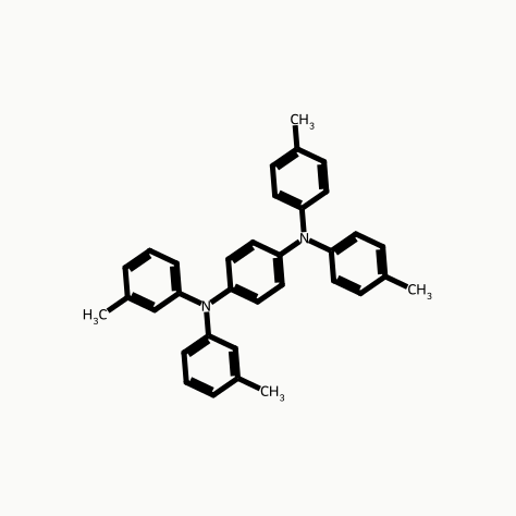 Cc1ccc(N(c2ccc(C)cc2)c2ccc(N(c3cccc(C)c3)c3cccc(C)c3)cc2)cc1